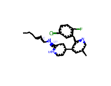 CCC/C=C/N=c1/cc(-c2cc(C)cnc2-c2cc(Cl)ccc2F)cc[nH]1